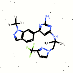 [2H]C([2H])([2H])n1ncc2ccc(-c3cc(NC(C)(C)Cn4ccc(C(F)(F)F)n4)nc(N)n3)cc21